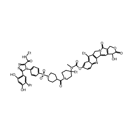 CCNC(=O)c1nnc(-c2cc(C(C)C)c(O)cc2O)n1-c1ccc(S(=O)(=O)N2CCC(C(=O)N3CCC(CC)(N(C)C(=O)Oc4ccc5nc6c(c(CC)c5c4)Cn4c-6cc5c(c4=O)COC(=O)C5O)CC3)CC2)cc1